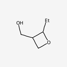 CCC1OCC1CO